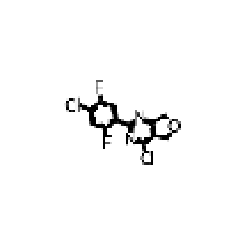 Fc1cc(-c2nc(Cl)c3c(n2)COC3)c(F)cc1Cl